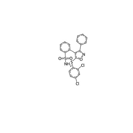 NS(=O)(=O)c1ccccc1-c1c(-c2ccccc2)noc1Sc1ccc(Cl)cc1Cl